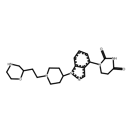 O=C1CCN(c2cccc3c2cnn3C2CCN(CCC3CNCCO3)CC2)C(=O)N1